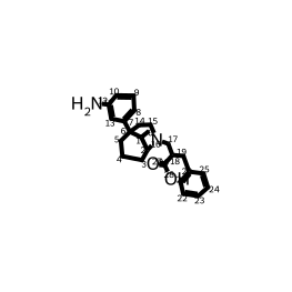 CC1C2CCCC1(c1cccc(N)c1)CCN2CC(Cc1ccccc1)C(=O)O